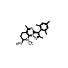 CCCC1CCc2c(C)nc3c(-c4c(C)cc(C)cc4C)c(C)nn3c2N1CC